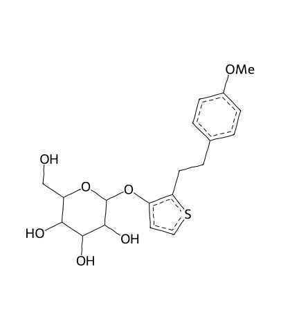 COc1ccc(CCc2sccc2OC2OC(CO)C(O)C(O)C2O)cc1